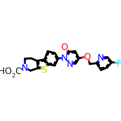 O=C(O)N1CCc2c(sc3cc(-n4ncc(OCc5ccc(F)cn5)cc4=O)ccc23)C1